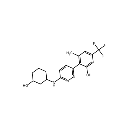 Cc1cc(C(F)(F)F)cc(O)c1-c1ccc(NC2CCCC(O)C2)nn1